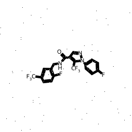 O=C(NCc1cc(C(F)(F)F)ccc1F)c1cnn(-c2ccc(F)cc2)c1C(F)(F)F